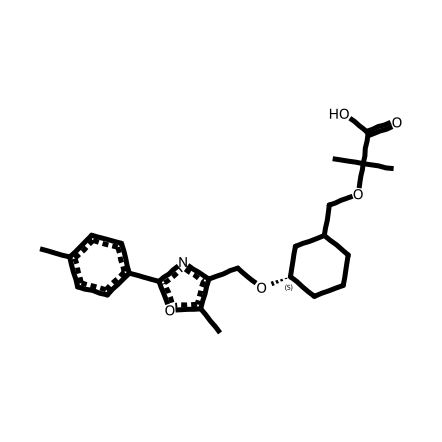 Cc1ccc(-c2nc(CO[C@H]3CCCC(COC(C)(C)C(=O)O)C3)c(C)o2)cc1